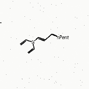 C=C[Si](C=C)/C=C/CCCCCC